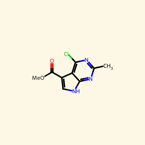 COC(=O)c1c[nH]c2nc(C)nc(Cl)c12